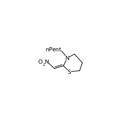 CCCCCN1CCCSC1=C[N+](=O)[O-]